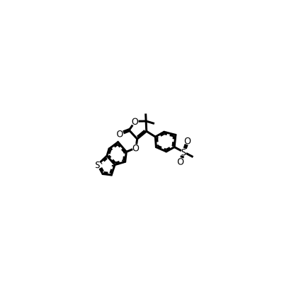 CC1(C)OC(=O)C(Oc2ccc3sccc3c2)=C1c1ccc(S(C)(=O)=O)cc1